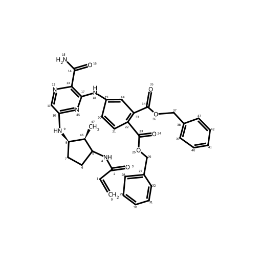 C=CC(=O)NC1CC[C@@H](Nc2cnc(C(N)=O)c(Nc3ccc(C(=O)OCc4ccccc4)c(C(=O)OCc4ccccc4)c3)n2)[C@H]1C